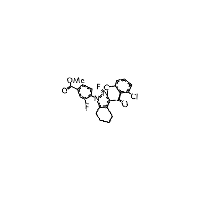 COC(=O)c1ccc(-n2nc(C(=O)c3c(Cl)cccc3C(F)(F)F)c3c2CCCC3)c(F)c1